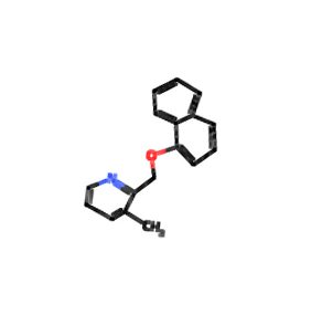 Cc1cccnc1COc1cccc2ccccc12